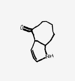 O=C1CCCC2NC=CC12